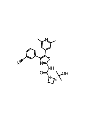 Cc1cc(-c2sc(NC(=O)N3CC[C@H]3C(C)(C)O)nc2-c2cccc(C#N)c2)cc(C)n1